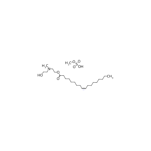 CCCCCCCC/C=C\CCCCCCCC(=O)OCCN(C)CCO.COS(=O)(=O)O